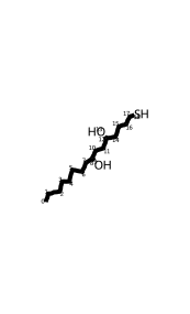 CCCCCCCCC(O)CCC(O)CCCCS